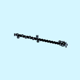 CC(C)(C)OC(=O)CCCCCCCCCCCCCCCCC(=O)NCCOCCOCCOCCOCCC(=O)O